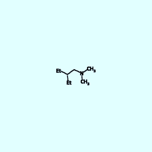 [CH2]CC(CC)CN(C)C